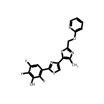 Cc1nc(COc2ccccn2)sc1-c1csc(-c2cc(F)c(F)c(O)c2F)n1